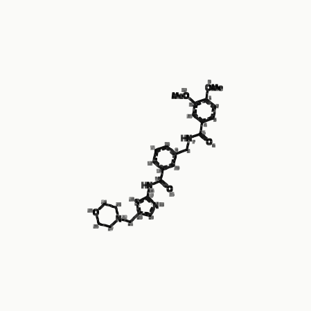 COc1ccc(C(=O)NCc2cccc(C(=O)Nc3ncc(CN4CCOCC4)s3)c2)cc1OC